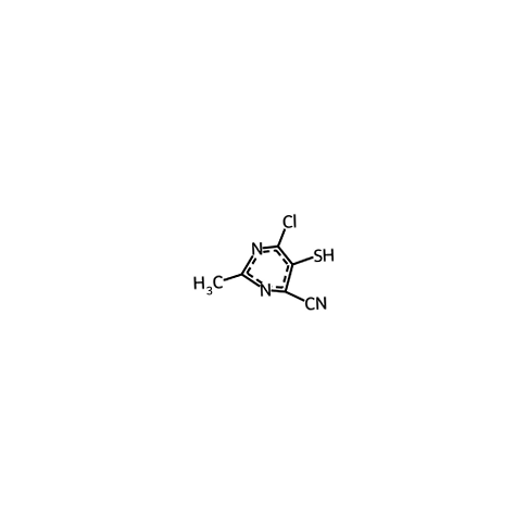 Cc1nc(Cl)c(S)c(C#N)n1